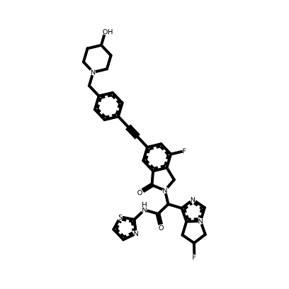 O=C(Nc1nccs1)C(c1ncn2c1CC(F)C2)N1Cc2c(F)cc(C#Cc3ccc(CN4CCC(O)CC4)cc3)cc2C1=O